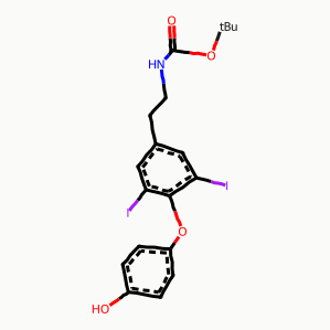 CC(C)(C)OC(=O)NCCc1cc(I)c(Oc2ccc(O)cc2)c(I)c1